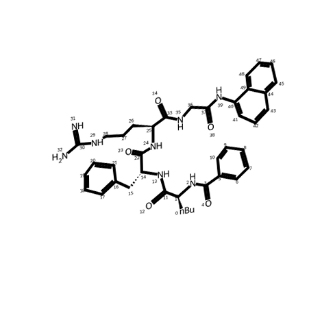 CCCC[C@H](NC(=O)c1ccccc1)C(=O)N[C@H](Cc1ccccc1)C(=O)N[C@@H](CCCNC(=N)N)C(=O)NCC(=O)Nc1cccc2ccccc12